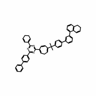 CC(C)(C1=CCC=C(c2nc(C3=CCCC=C3)nc(-c3ccc(-c4ccccc4)cc3)n2)C=C1)c1ccc(-c2cccc(-c3cccc4c3C=CCC4)c2)cc1